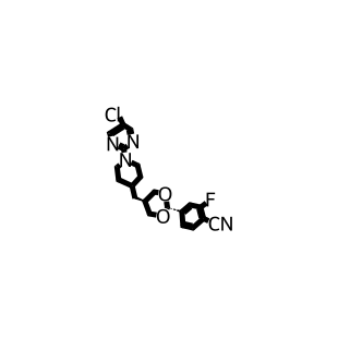 N#Cc1ccc([C@H]2OC[C@H](CC3CCN(c4ncc(Cl)cn4)CC3)CO2)cc1F